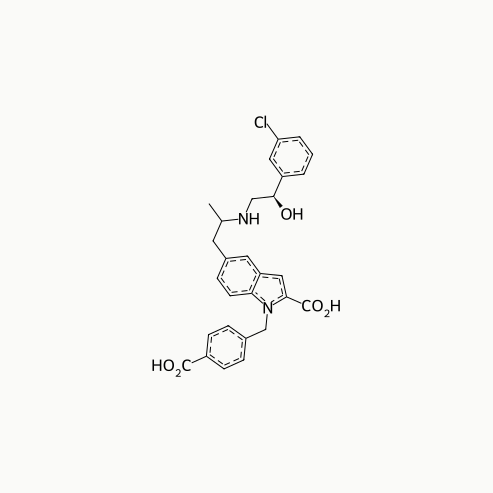 CC(Cc1ccc2c(c1)cc(C(=O)O)n2Cc1ccc(C(=O)O)cc1)NC[C@H](O)c1cccc(Cl)c1